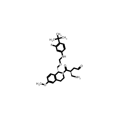 COc1ccc2c(c1)CCN(C(=O)[C@H](CN)CC=O)[C@H]2COCNc1ccc(C(C)(C)C)c(F)c1